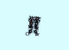 Cc1cc(C)c(C)c(S(=O)(=O)N2CCN(c3nc(Cc4ccc(Cl)cc4)cs3)CC2)c1C.Cc1cc(C)c(C)c(S(=O)(=O)N2CCN(c3nc(Cc4cccc(Br)c4)cs3)CC2)c1C